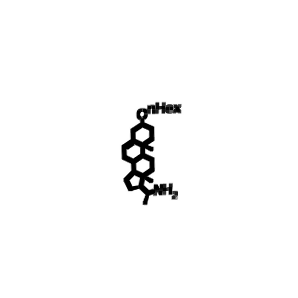 [CH2]CCCCCO[C@H]1CC[C@@]2(C)C(=CCC3C2CC[C@@]2(C)C3CC[C@@H]2[C@H](C)N)C1